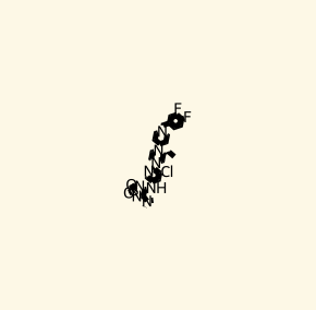 CC[C@H]1CN(c2ncc(NC3=NS(=O)(=O)N=C3N(C)C)cc2Cl)CCN1C1CCN(Cc2ccc(F)c(F)c2)CC1